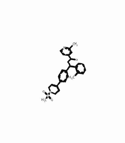 Cc1cc(C(=O)CC(c2ccc(C3=CCN(S(C)(=O)=O)CC3)cc2)c2ccccc2C)ccn1